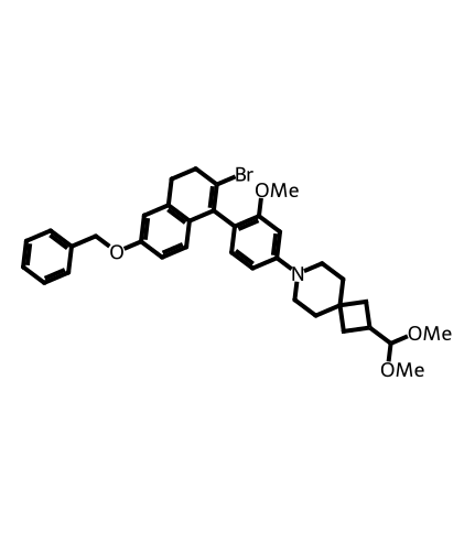 COc1cc(N2CCC3(CC2)CC(C(OC)OC)C3)ccc1C1=C(Br)CCc2cc(OCc3ccccc3)ccc21